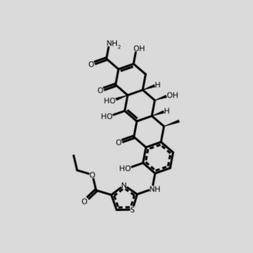 CCOC(=O)c1csc(Nc2ccc3c(c2O)C(=O)C2=C(O)[C@]4(O)C(=O)C(C(N)=O)=C(O)C[C@@H]4[C@@H](O)[C@@H]2[C@H]3C)n1